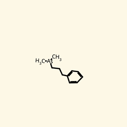 C[As](C)CCCc1ccccc1